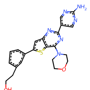 Nc1ncc(-c2nc(N3CCOCC3)c3sc(-c4cccc(CCO)c4)cc3n2)cn1